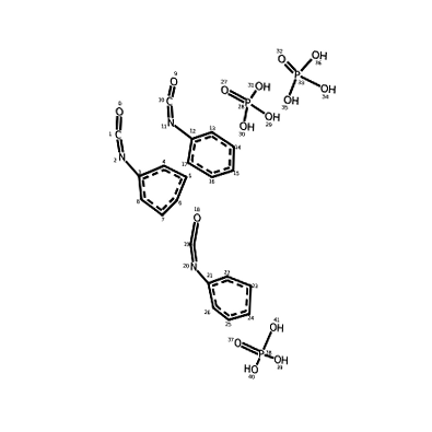 O=C=Nc1ccccc1.O=C=Nc1ccccc1.O=C=Nc1ccccc1.O=P(O)(O)O.O=P(O)(O)O.O=P(O)(O)O